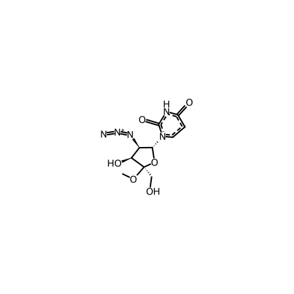 CO[C@]1(CO)O[C@@H](n2ccc(=O)[nH]c2=O)[C@H](N=[N+]=[N-])[C@@H]1O